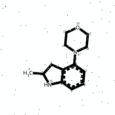 CC1Cc2c(cccc2N2CCOCC2)N1